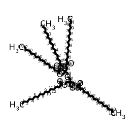 CCCCCCCCCCCCCCCC(=O)OCC(CO)(COCC(COC(=O)CCCCCCCCCCCCCCC)(COC(=O)CCCCCCCCCCCCCCC)COC(=O)CCCCCCCCCCCCCCC)COC(=O)CCCCCCCCCCCCCCC